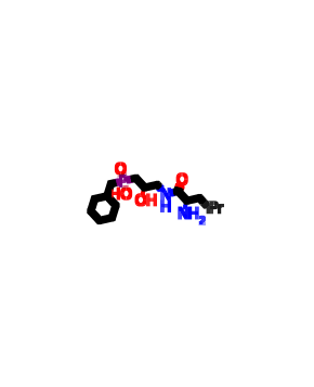 CC(C)C[C@H](N)C(=O)NC[C@H](O)CP(=O)(O)CC1CCCCC1